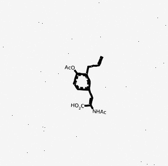 C=CCc1cc(C=C(NC(C)=O)C(=O)O)ccc1OC(C)=O